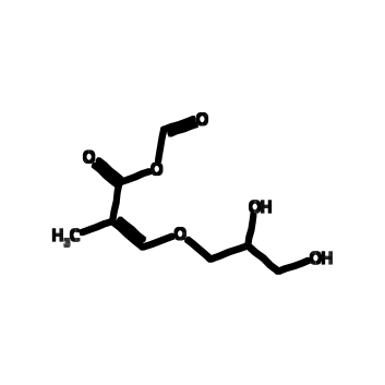 CC(=COCC(O)CO)C(=O)OC=O